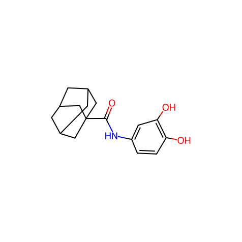 O=C(Nc1ccc(O)c(O)c1)C12CC3CC(CC(C3)C1)C2